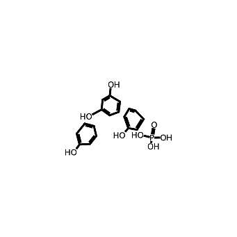 O=P(O)(O)O.Oc1cccc(O)c1.Oc1ccccc1.Oc1ccccc1